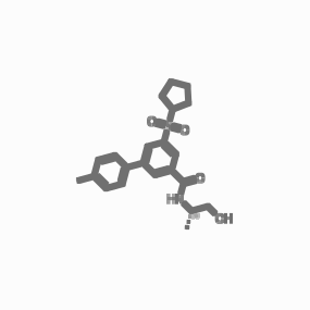 Cc1ccc(-c2cc(C(=O)N[C@@H](C)CO)cc(S(=O)(=O)C3CCCC3)c2)cc1